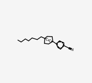 CCCCCCCC12CCC(c3ccc(C#N)cc3)(CC1)CC2